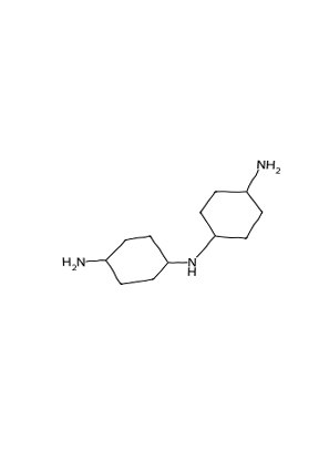 NC1CCC(NC2CCC(N)CC2)CC1